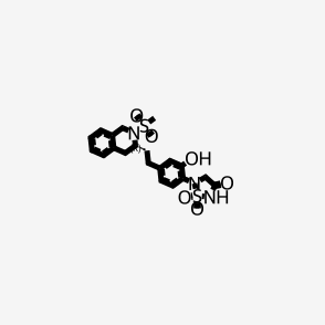 CS(=O)(=O)N1Cc2ccccc2C[C@H]1CCc1ccc(N2CC(=O)NS2(=O)=O)c(O)c1